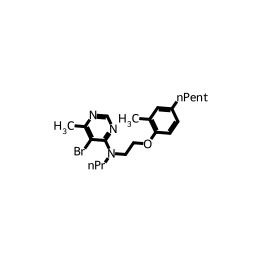 CCCCCc1ccc(OCCN(CCC)c2ncnc(C)c2Br)c(C)c1